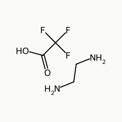 NCCN.O=C(O)C(F)(F)F